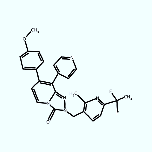 COc1ccc(-c2ccn3c(=O)n(Cc4ccc(C(C)(F)F)nc4C)nc3c2-c2ccncc2)cc1